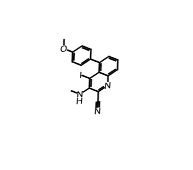 CNc1c(C#N)nc2cccc(-c3ccc(OC)cc3)c2c1I